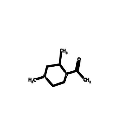 CC(=O)N1CCN(C)CC1C